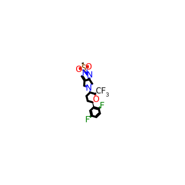 CS(=O)(=O)n1cc2c(n1)CN([C@@H]1CC[C@H](c3cc(F)ccc3F)O[C@@H]1C(F)(F)F)C2